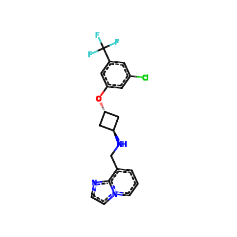 FC(F)(F)c1cc(Cl)cc(O[C@H]2C[C@H](NCc3cccn4ccnc34)C2)c1